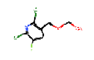 OCOCc1cc(F)c(Cl)nc1Cl